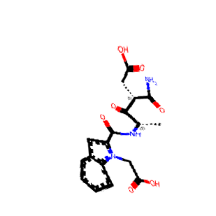 C[C@H](NC(=O)c1cc2ccccc2n1CC(=O)O)C(=O)[C@H](CC(=O)O)C(N)=O